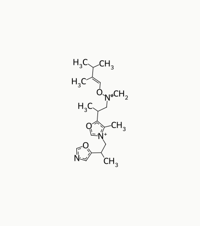 C=[N+](CC(C)c1oc[n+](CC(C)c2cnco2)c1C)O/C=C(\C)C(C)C